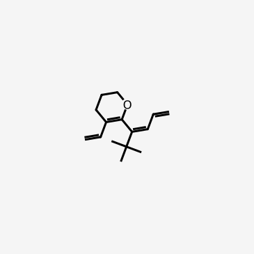 C=C/C=C(\C1=C(C=C)CCCO1)C(C)(C)C